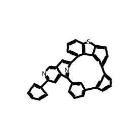 c1ccc(-c2cc3c(cn2)cc2nc3c3cccc(c3)c3cccc(c3)c3ccc4sc5cccc2c5c4c3)cc1